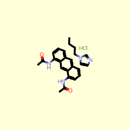 CC(=O)Nc1cccc2cc3cccc(NC(C)=O)c3cc12.CCCCn1ccnc1.Cl